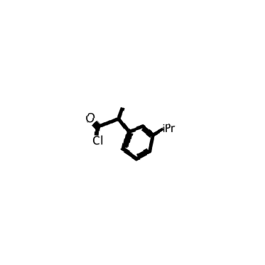 CC(C)c1cccc(C(C)C(=O)Cl)c1